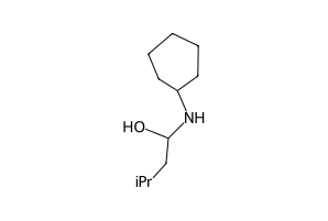 CC(C)CC(O)NC1CCCCC1